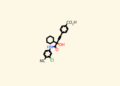 N#Cc1ccc(NC(=O)C(O)(C#Cc2ccc(C(=O)O)cc2)C2CCCCC2)cc1Cl